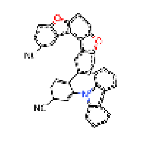 N#Cc1ccc2oc3ccc4oc5ccc(C6=CCC(C#N)C=C6n6c7ccccc7c7ccccc76)cc5c4c3c2c1